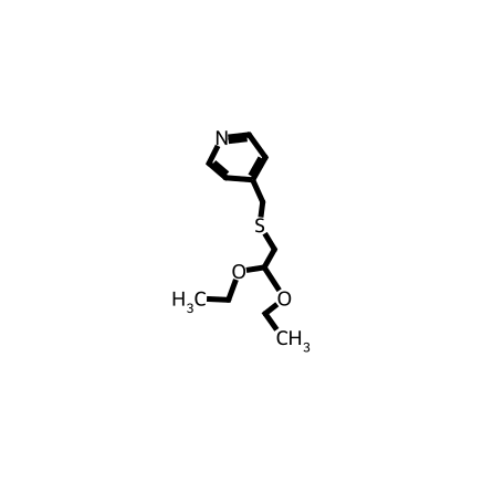 CCOC(CSCc1ccncc1)OCC